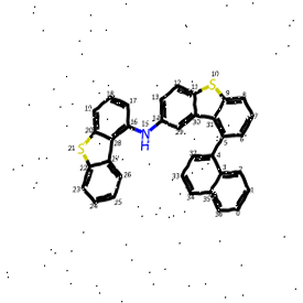 c1ccc2c(-c3cccc4sc5ccc(Nc6cccc7sc8ccccc8c67)cc5c34)cccc2c1